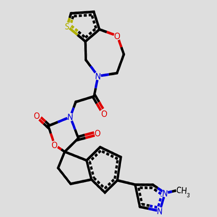 Cn1cc(-c2ccc3c(c2)CCC32OC(=O)N(CC(=O)N3CCOc4ccsc4C3)C2=O)cn1